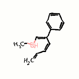 C=C/C=C\C(=C/BC)c1ccccc1